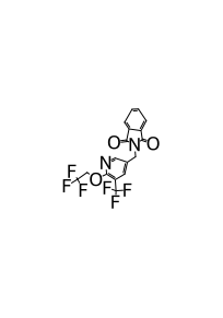 O=C1c2ccccc2C(=O)N1Cc1cnc(OCC(F)(F)F)c(C(F)(F)F)c1